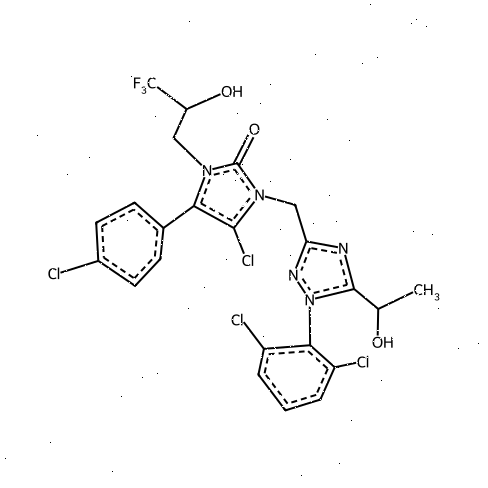 CC(O)c1nc(Cn2c(Cl)c(-c3ccc(Cl)cc3)n(CC(O)C(F)(F)F)c2=O)nn1-c1c(Cl)cccc1Cl